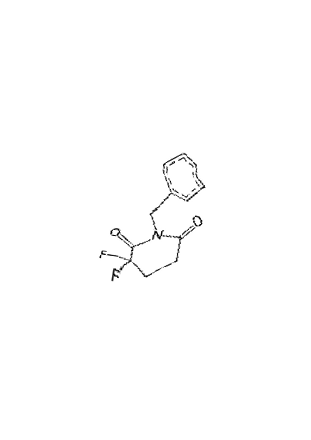 O=C1CCC(F)(F)C(=O)N1Cc1ccccc1